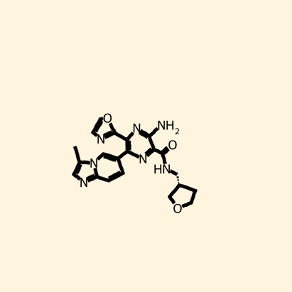 Cc1cnc2ccc(-c3nc(C(=O)NC[C@@H]4CCOC4)c(N)nc3-c3ncco3)cn12